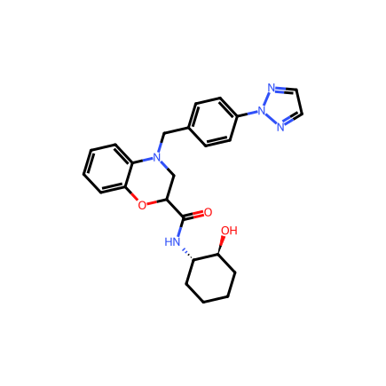 O=C(N[C@H]1CCCC[C@@H]1O)C1CN(Cc2ccc(-n3nccn3)cc2)c2ccccc2O1